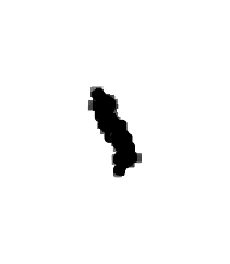 C#Cc1ccc(Oc2ccc(S(=O)(=O)c3ccc(Oc4cccc(C#C)c4C)cc3)cc2)c(C)c1